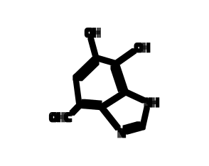 O=Cc1cc(O)c(O)c2[nH]cnc12